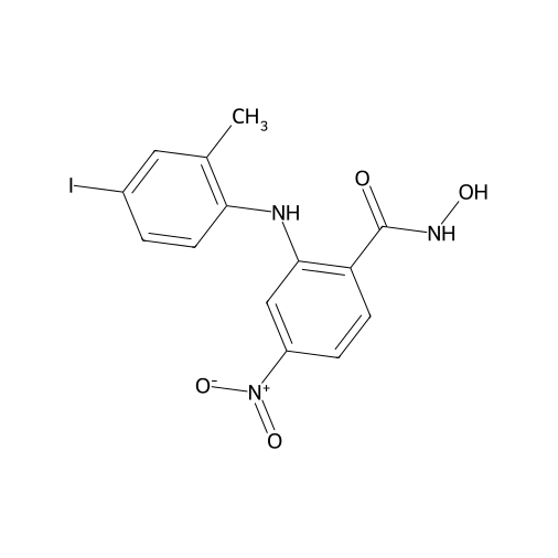 Cc1cc(I)ccc1Nc1cc([N+](=O)[O-])ccc1C(=O)NO